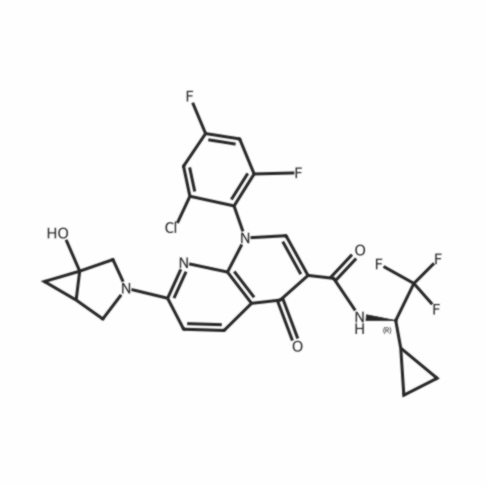 O=C(N[C@H](C1CC1)C(F)(F)F)c1cn(-c2c(F)cc(F)cc2Cl)c2nc(N3CC4CC4(O)C3)ccc2c1=O